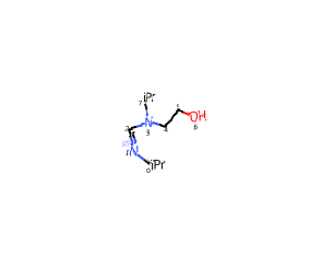 CC(C)/N=C\N(CCO)C(C)C